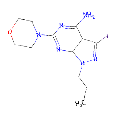 CCCN1N=C(I)C2C(N)=NC(N3CCOCC3)=NC21